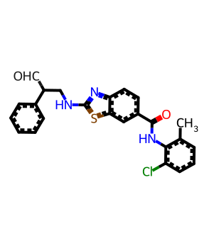 Cc1cccc(Cl)c1NC(=O)c1ccc2nc(NCC(C=O)c3ccccc3)sc2c1